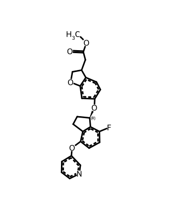 COC(=O)CC1COc2cc(O[C@@H]3CCc4c(Oc5cccnc5)ccc(F)c43)ccc21